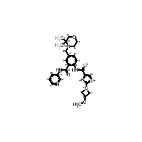 COC1CN(c2nc(C(=O)Nc3ccc(CN4CCOCC4(C)C)cc3C(=O)Nc3cccnc3)cs2)C1